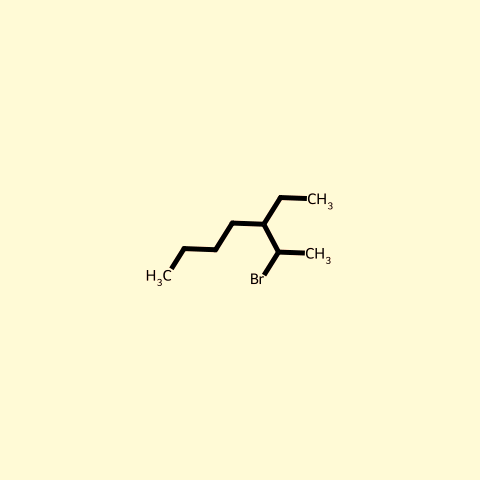 CCCCC(CC)C(C)Br